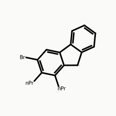 CCCc1c(Br)cc2c(c1CCC)[CH]c1ccccc1-2